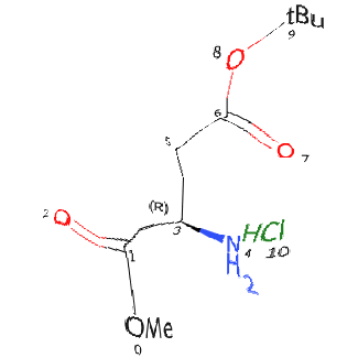 COC(=O)[C@H](N)CC(=O)OC(C)(C)C.Cl